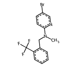 CN(Cc1ccccc1C(F)(F)F)c1ccc(Br)cn1